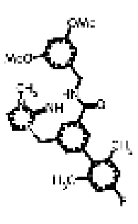 COc1cc(CNC(=O)c2cc(Cn3ccn(C)c3=N)cc(-c3c(C)cc(F)cc3C)c2)cc(OC)c1